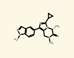 C[C@@H]1C(=O)N(C)Cc2c(-c3ccc4c(cnn4C)c3)nc(C3CC3)n21